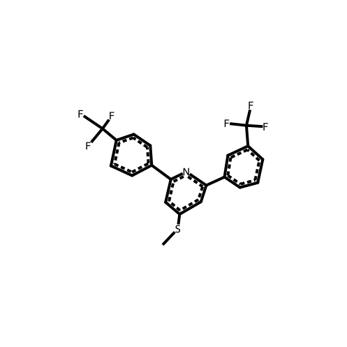 CSc1cc(-c2ccc(C(F)(F)F)cc2)nc(-c2cccc(C(F)(F)F)c2)c1